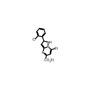 CCOC(=O)C1=NC2=CC(c3ccccc3Cl)NN2C(CC)=C1